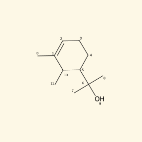 CC1=CCCC(C(C)(C)O)C1C